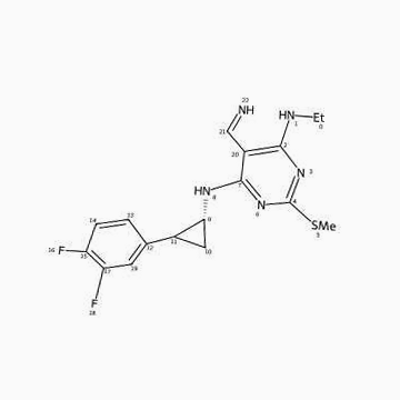 CCNc1nc(SC)nc(N[C@@H]2CC2c2ccc(F)c(F)c2)c1C=N